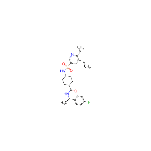 C=Cc1cc(S(=O)(=O)NC2CCC(C(=O)N[C@H](C)c3ccc(F)cc3)CC2)cnc1C=C